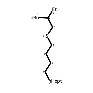 CCCCCCCCCCCSCC(CC)CCCC